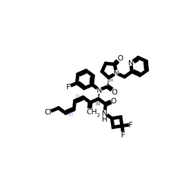 C=C(/C=C\C=C/CCl)[C@@H](C(=O)NC1CC(F)(F)C1)N(C(=O)[C@@H]1CCC(=O)N1Cc1ccccn1)c1cccc(F)c1